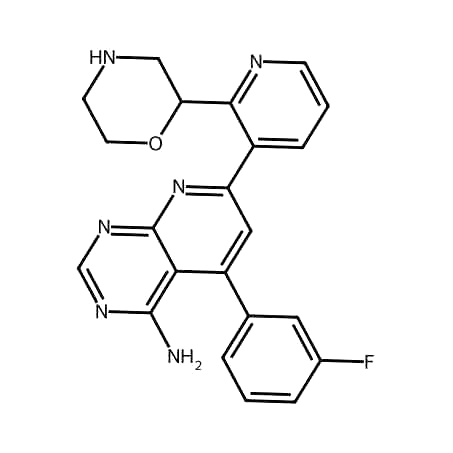 Nc1ncnc2nc(-c3cccnc3C3CNCCO3)cc(-c3cccc(F)c3)c12